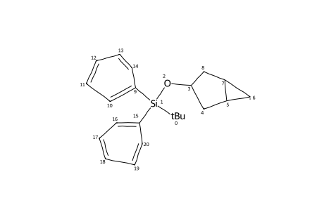 CC(C)(C)[Si](OC1CC2[CH]C2C1)(c1ccccc1)c1ccccc1